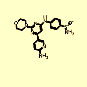 Nc1ccc(-c2cc(Nc3ccc([S+](N)[O-])cc3)nc(N3CCOCC3)n2)cn1